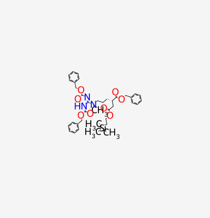 CN(CCC[C@@H](CC(=O)OCC[Si](C)(C)C)C(=O)OCc1ccccc1)C(=NC(=O)OCc1ccccc1)NC(=O)OCc1ccccc1